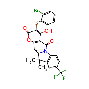 CC1(C)c2cc(C(F)(F)F)ccc2-n2c1cc1oc(=O)c(Sc3ccccc3Br)c(O)c1c2=O